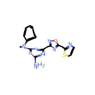 CN(c1ccccc1)c1nc(N)nc(-c2noc(-c3nccs3)n2)n1